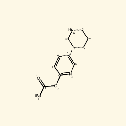 CC(C)(C)C(=O)Oc1ccc([C@H]2CCCNC2)cn1